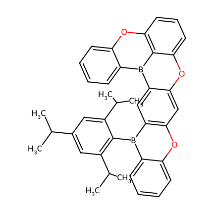 CC(C)c1cc(C(C)C)c(B2c3ccccc3Oc3cc4c(cc32)B2c3ccccc3Oc3cccc(c32)O4)c(C(C)C)c1